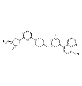 C[C@@H]1CN(c2ccc(C#N)c3ncccc23)C[C@H](CN2CCN(c3ccnc(N4C[C@@H](C)[C@@H](N)C4)n3)CC2)O1